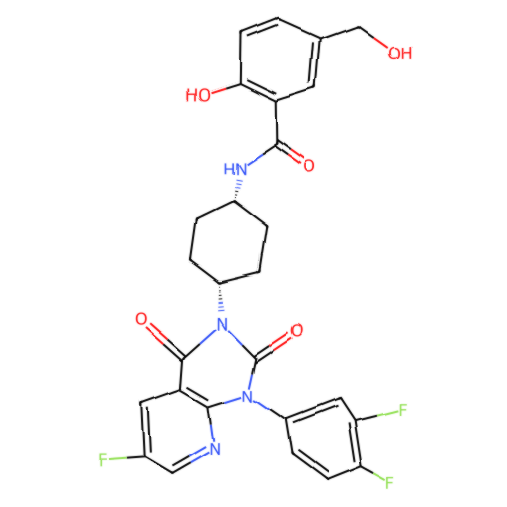 O=C(N[C@H]1CC[C@@H](n2c(=O)c3cc(F)cnc3n(-c3ccc(F)c(F)c3)c2=O)CC1)c1cc(CO)ccc1O